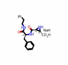 CC(C)CCNC(=O)[C@H](Cc1ccccc1)NC(=O)[C@H]1N[C@@H]1C(=O)O.[NaH]